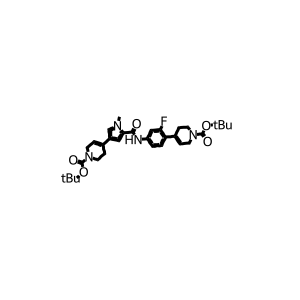 Cn1cc(C2=CCN(C(=O)OC(C)(C)C)CC2)cc1C(=O)Nc1ccc(C2=CCN(C(=O)OC(C)(C)C)CC2)c(F)c1